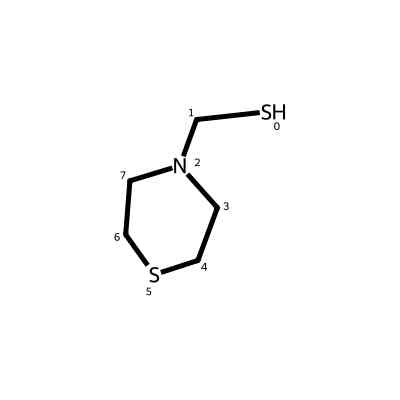 SCN1CCSCC1